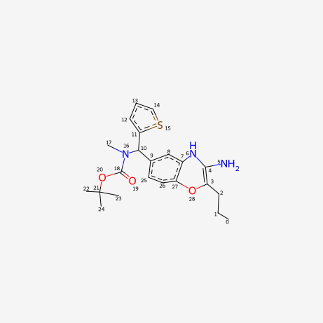 CCCC1=C(N)Nc2cc(C(c3cccs3)N(C)C(=O)OC(C)(C)C)ccc2O1